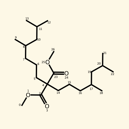 COC(=O)C(CCCC(C)CC(C)C)(CCCC(C)CC(C)C)C(=O)OC